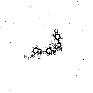 COc1cccc(CNc2cnc(S(=O)(=O)Nc3nc(-c4ccc(Cl)c(F)c4)cs3)c(C)c2)c1O